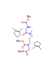 COC(=O)[C@@H](CC1=C(C)CCC1)N(CCON(C)C(=O)[C@H](CC1=C(C)CCC1)NC(=O)OC(C)(C)C)C(=O)OC(C)(C)C